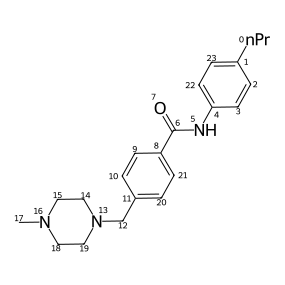 CCCc1ccc(NC(=O)c2ccc(CN3CCN(C)CC3)cc2)cc1